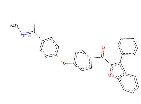 CC(=O)O/N=C(\C)c1ccc(Sc2ccc(C(=O)c3oc4ccccc4c3-c3ccccc3)cc2)cc1